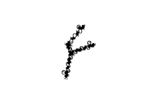 C=CC(=O)OCCOCCOCC(C)(C)COCC(C)(COCCOCCOC(=O)C=C)COCCOCCOC(=O)C=C